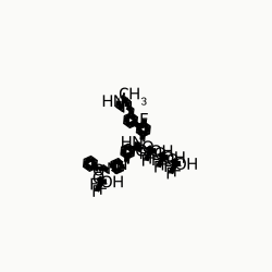 C[C@H]1CN(Cc2cccc(-c3cc(CNC(=O)c4cccc(CN5CCN(CCOc6ccccc6)CC5)c4)ccc3F)c2)CCN1.O=C(O)C(F)(F)F.O=C(O)C(F)(F)F.O=C(O)C(F)(F)F.O=C(O)C(F)(F)F